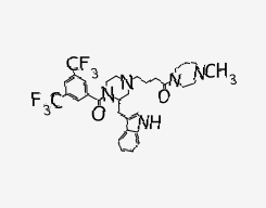 CN1CCCN(C(=O)CCCN2CCN(C(=O)c3cc(C(F)(F)F)cc(C(F)(F)F)c3)C(Cc3c[nH]c4ccccc34)C2)CC1